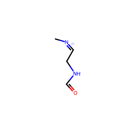 C/N=C\CNC=O